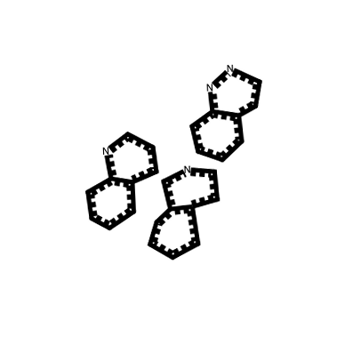 c1ccc2cnccc2c1.c1ccc2ncccc2c1.c1ccc2nnccc2c1